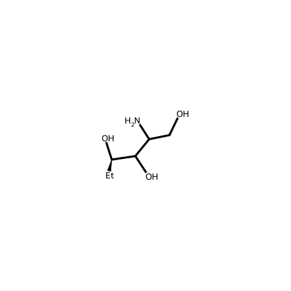 CC[C@@H](O)C(O)C(N)CO